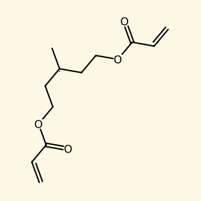 C=CC(=O)OCC[C](C)CCOC(=O)C=C